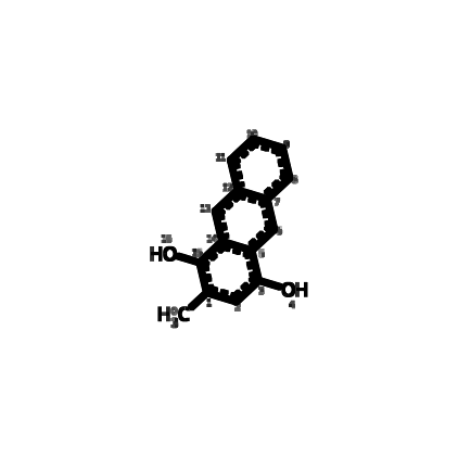 Cc1cc(O)c2cc3ccccc3cc2c1O